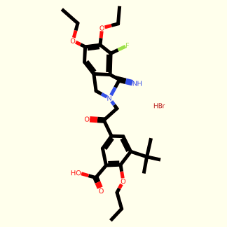 Br.CCCOc1c(C(=O)O)cc(C(=O)CN2Cc3cc(OCC)c(OCC)c(F)c3C2=N)cc1C(C)(C)C